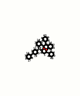 c1ccc(-c2ccc(N(c3ccc(-c4ccccc4)cc3)c3ccccc3-c3ccc4ccccc4c3-c3ccccc3)cc2)cc1